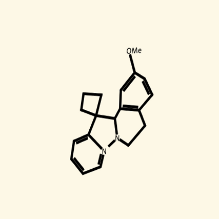 COc1ccc2c(c1)C(C1(c3ccccn3)CCC1)N(C)CC2